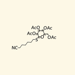 CC(=O)OC[C@H]1O[C@@H](SCCCCCCC#N)[C@H](OC(C)=O)[C@@H](OC(C)=O)[C@@H]1OC(C)=O